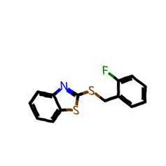 Fc1ccccc1CSc1nc2ccccc2s1